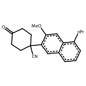 CCCc1cccc2cc(C3(C#N)CCC(=O)CC3)c(OC)cc12